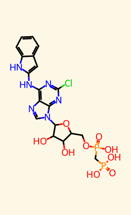 O=P(O)(O)CP(=O)(O)OCC1OC(n2cnc3c(Nc4cc5ccccc5[nH]4)nc(Cl)nc32)C(O)C1O